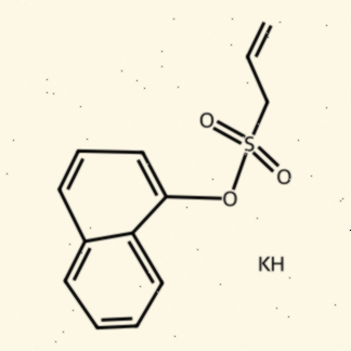 C=CCS(=O)(=O)Oc1cccc2ccccc12.[KH]